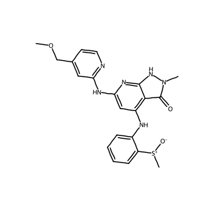 COCc1ccnc(Nc2cc(Nc3ccccc3[S+](C)[O-])c3c(=O)n(C)[nH]c3n2)c1